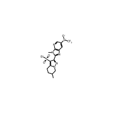 CCS(=O)(=O)c1c(-c2nc3cc([S+]([O-])C(F)(F)F)cnc3n2C)nn2c1CCC(C)C2